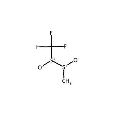 C[S+]([O-])[S+]([O-])C(F)(F)F